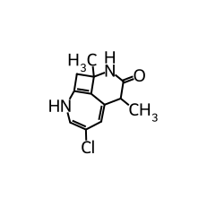 CC1C(=O)NC2(C)CC3=C2C1=CC(Cl)=CN3